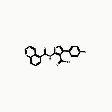 O=C(O)c1c(-c2ccc(Cl)cc2)csc1NC(=O)c1cccc2ncccc12